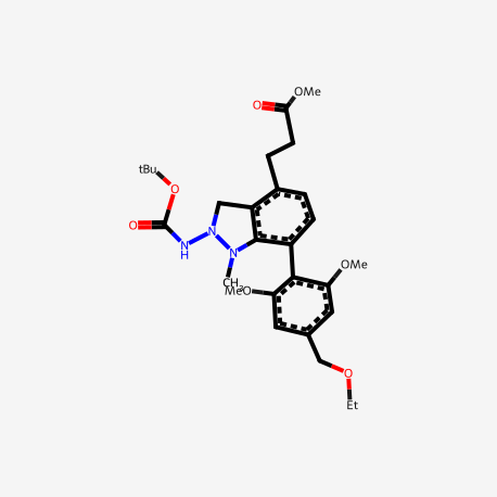 CCOCc1cc(OC)c(-c2ccc(CCC(=O)OC)c3c2N(C)N(NC(=O)OC(C)(C)C)C3)c(OC)c1